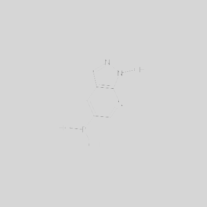 Cn1ncc2cc(B(O)O)cnc21